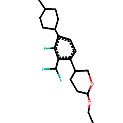 CCOC1CCC(c2ccc(C3CCC(C)CC3)c(F)c2C(F)F)CO1